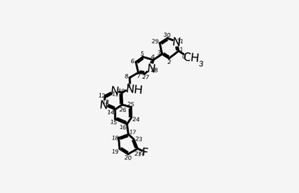 Cc1cc(-c2ccc(CNc3ncnc4cc(-c5cccc(F)c5)ccc34)cn2)ccn1